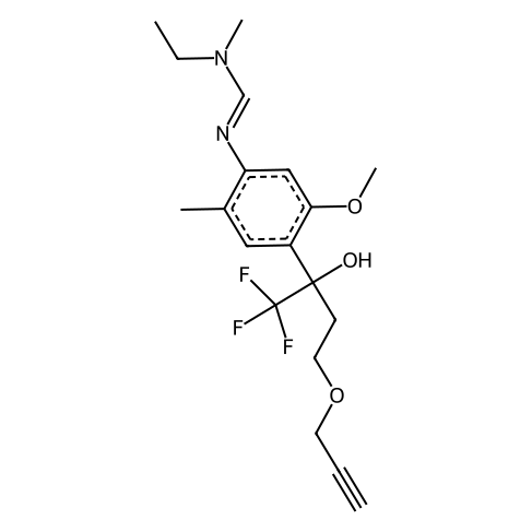 C#CCOCCC(O)(c1cc(C)c(N=CN(C)CC)cc1OC)C(F)(F)F